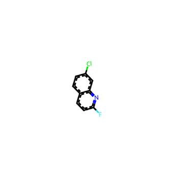 Fc1ccc2ccc(Cl)cc2n1